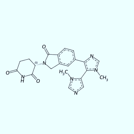 Cn1cncc1-c1c(-c2ccc3c(c2)CN([C@H]2CCC(=O)NC2=O)C3=O)ncn1C